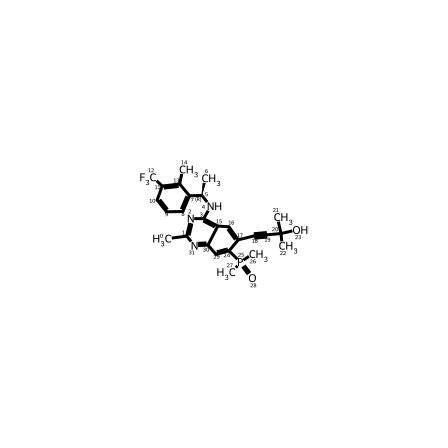 Cc1nc(N[C@H](C)c2cccc(C(F)(F)F)c2C)c2cc(C#CC(C)(C)O)c(P(C)(C)=O)cc2n1